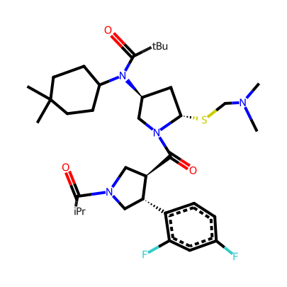 CC(C)C(=O)N1C[C@@H](C(=O)N2C[C@@H](N(C(=O)C(C)(C)C)C3CCC(C)(C)CC3)C[C@@H]2SCN(C)C)[C@H](c2ccc(F)cc2F)C1